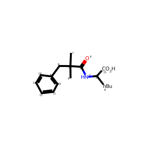 CCCCC(NC(=O)C(C)(C)Cc1ccccc1)C(=O)O